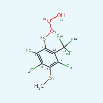 CSc1c(F)c(F)c(SOOO)c(C(F)(F)F)c1F